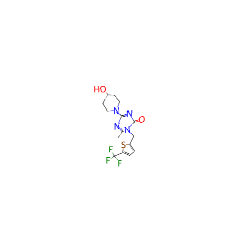 Cc1nc(N2CCC(O)CC2)nc(=O)n1Cc1ccc(C(F)(F)F)s1